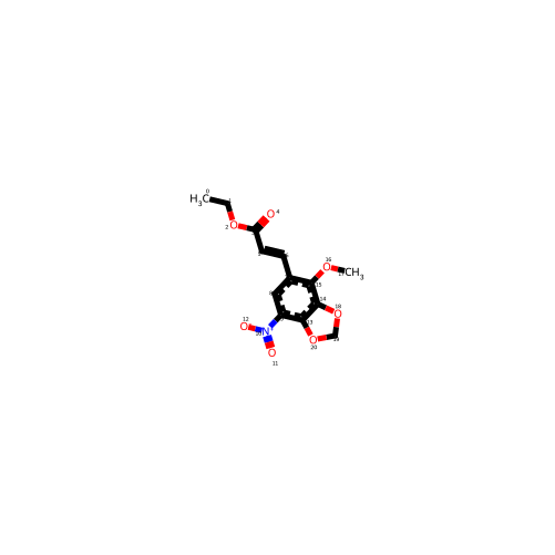 CCOC(=O)/C=C/c1cc([N+](=O)[O-])c2c(c1OC)OCO2